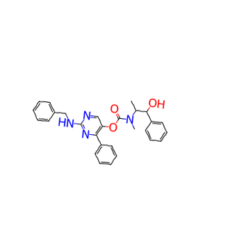 CC(C(O)c1ccccc1)N(C)C(=O)Oc1cnc(NCc2ccccc2)nc1-c1ccccc1